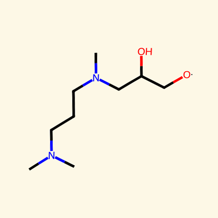 CN(C)CCCN(C)CC(O)C[O]